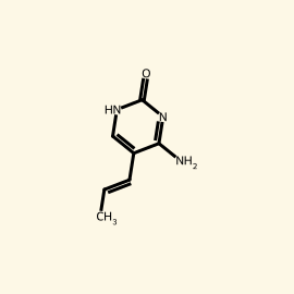 CC=Cc1c[nH]c(=O)nc1N